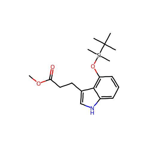 COC(=O)CCc1c[nH]c2cccc(O[Si](C)(C)C(C)(C)C)c12